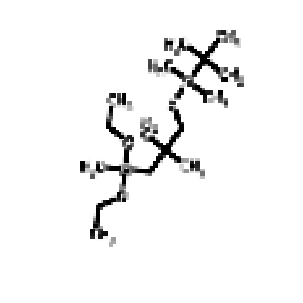 CCO[Si](C)(CC(C)(C)CS[Si](C)(C)C(C)(C)C)OCC